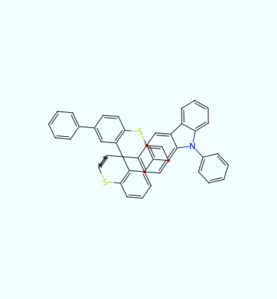 c1ccc(-c2ccc3c(c2)C2(c4ccccc4S3)c3ccccc3Sc3cccc(-c4ccc5c6ccccc6n(-c6ccccc6)c5c4)c32)cc1